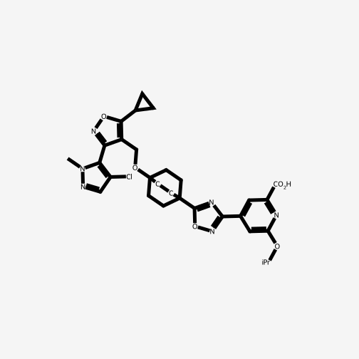 CC(C)Oc1cc(-c2noc(C34CCC(OCc5c(-c6c(Cl)cnn6C)noc5C5CC5)(CC3)CC4)n2)cc(C(=O)O)n1